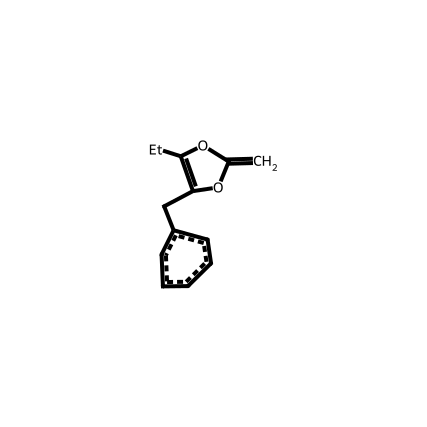 C=C1OC(CC)=C(Cc2ccccc2)O1